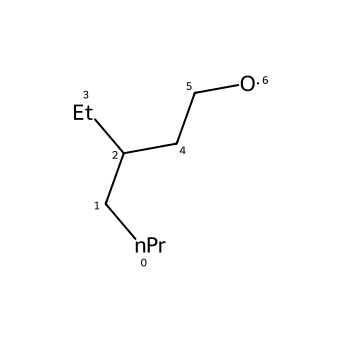 CCCCC(CC)CC[O]